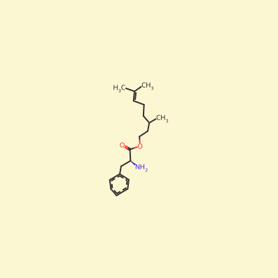 CC(C)=CCCC(C)CCOC(=O)[C@@H](N)Cc1ccccc1